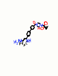 CNC(CCN)c1ccc(-c2ccc(C(=O)N3CCN(C(=O)C4(O)CC4)CC3)cc2)cc1